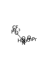 CCCC(=O)OCc1ccc(N(C)C)c(NC(=O)CCCCCCCOCc2ccc(C(F)(F)F)cc2F)c1